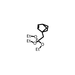 CCO[Si](CC12C=CC(CC1)C2)(OCC)OCC